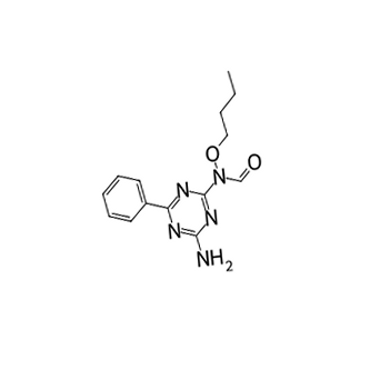 CCCCON(C=O)c1nc(N)nc(-c2ccccc2)n1